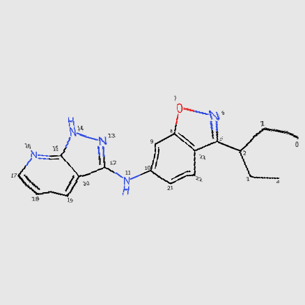 CCC(CC)c1noc2cc(Nc3n[nH]c4ncccc34)ccc12